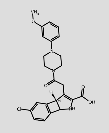 COc1cccc(N2CCN(C(=O)CC3=C(C(=O)O)NC4c5ccc(Cl)cc5[C@H]34)CC2)c1